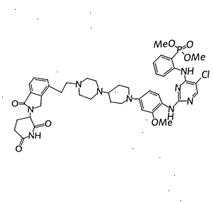 COc1cc(N2CCC(N3CCN(CCc4cccc5c4CN(C4CCC(=O)NC4=O)C5=O)CC3)CC2)ccc1Nc1ncc(Cl)c(Nc2ccccc2P(=O)(OC)OC)n1